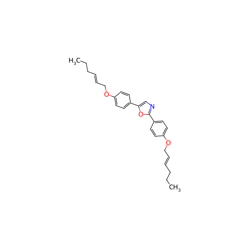 CCCC=CCOc1ccc(-c2cnc(-c3ccc(OCC=CCCC)cc3)o2)cc1